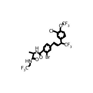 CC(NC(=O)c1ccc(/C=C/C(c2ccc(OC(F)(F)F)c(Cl)c2)C(F)(F)F)cc1Br)C(=O)NCC(F)(F)F